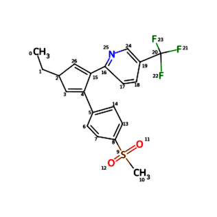 CCC1C=C(c2ccc(S(C)(=O)=O)cc2)C(c2ccc(C(F)(F)F)cn2)=C1